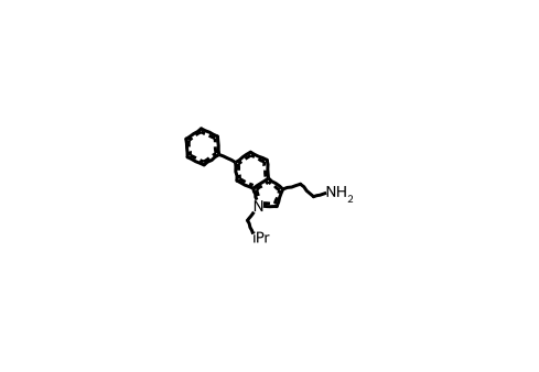 CC(C)Cn1cc(CCN)c2ccc(-c3ccccc3)cc21